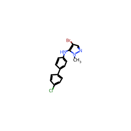 Cn1ncc(Br)c1Nc1ccc(-c2ccc(Cl)cc2)cc1